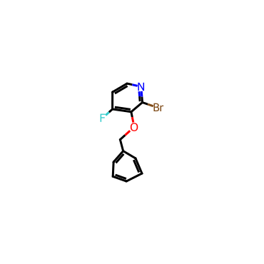 Fc1ccnc(Br)c1OCc1ccccc1